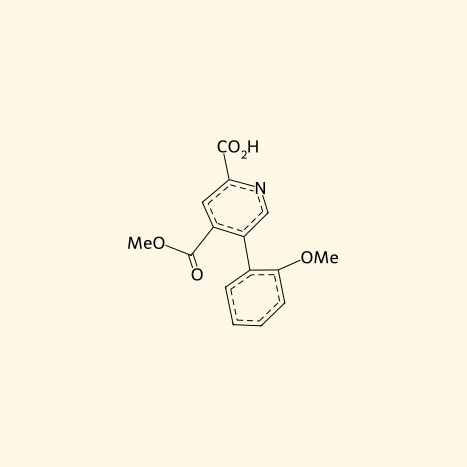 COC(=O)c1cc(C(=O)O)ncc1-c1ccccc1OC